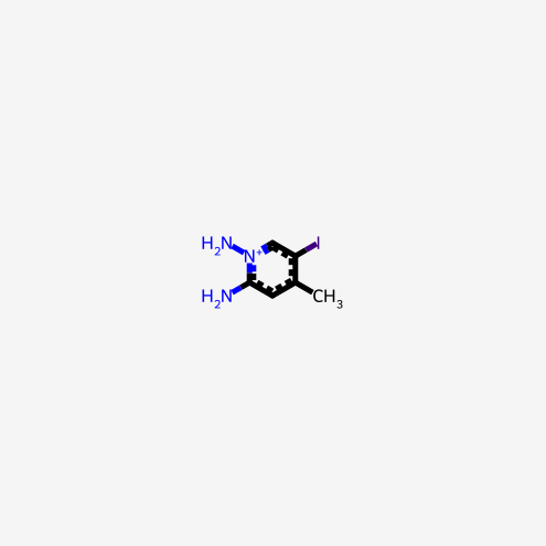 Cc1cc(N)[n+](N)cc1I